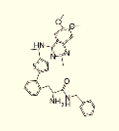 COc1cc2nc(C)nc(NC(C)c3ccc(-c4ccccc4CC(N)C(=O)NCc4ccccc4)s3)c2cc1OC